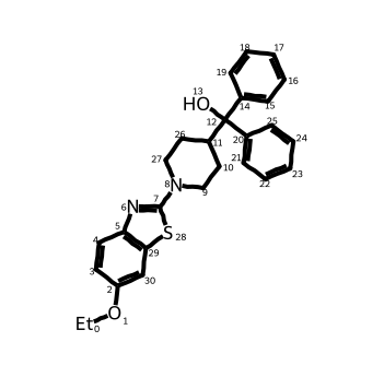 CCOc1ccc2nc(N3CCC(C(O)(c4ccccc4)c4ccccc4)CC3)sc2c1